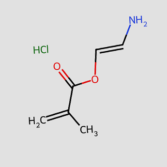 C=C(C)C(=O)OC=CN.Cl